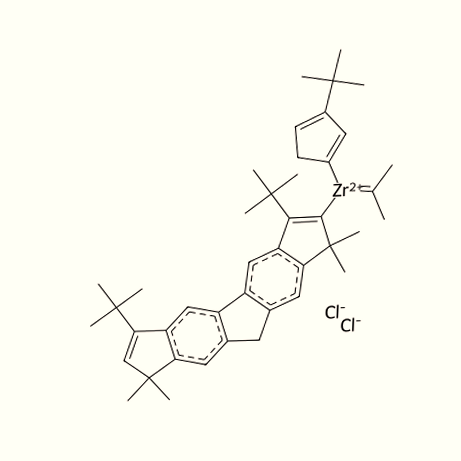 C[C](C)=[Zr+2]([C]1=CC(C(C)(C)C)=CC1)[C]1=C(C(C)(C)C)c2cc3c(cc2C1(C)C)Cc1cc2c(cc1-3)C(C(C)(C)C)=CC2(C)C.[Cl-].[Cl-]